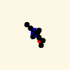 c1ccc(-c2ccc(-c3nc(-c4ccccc4)nc(-c4ccccc4-n4c5ccccc5c5cc6c(cc54)oc4c(-c5ccccc5)cccc46)n3)cc2)cc1